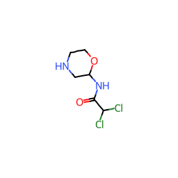 O=C(NC1CNCCO1)C(Cl)Cl